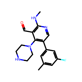 CNc1ncc(-c2cc(C)cc(F)c2)c(N2CCNCC2)c1C=O